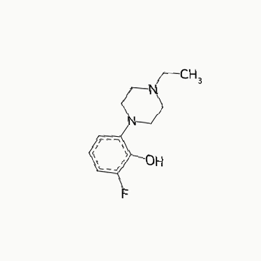 CCN1CCN(c2cccc(F)c2O)CC1